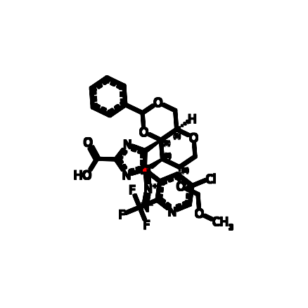 COCO[C@H]1CO[C@@H]2COC(c3ccccc3)O[C@@]2(c2nc(C(=O)O)nn2-c2cc(Cl)cnc2C(F)(F)F)[C@@H]1N=[N+]=[N-]